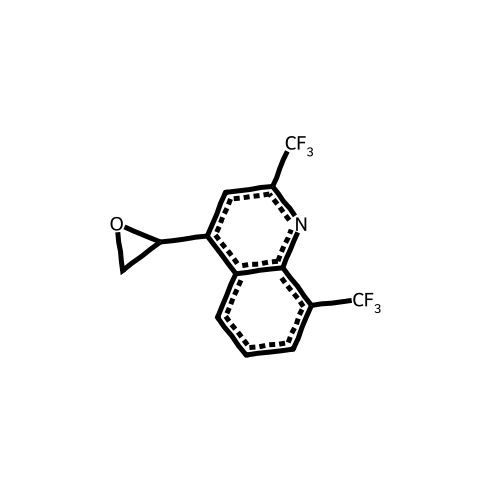 FC(F)(F)c1cc(C2CO2)c2cccc(C(F)(F)F)c2n1